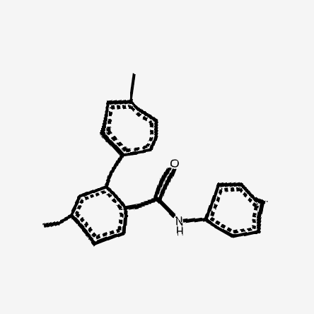 Cc1ccc(-c2cc(C)ccc2C(=O)Nc2cc[c]cc2)cc1